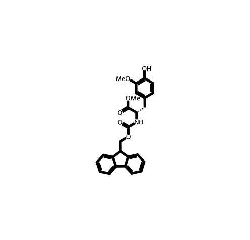 COC(=O)[C@H](Cc1ccc(O)c(OC)c1)NC(=O)OCC1c2ccccc2-c2ccccc21